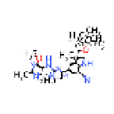 C=N/C(=N\C(=C/C)c1cc(C#N)c2c(c1)[C@@](C)(CO[Si](C)(C)C(C)(C)C)CN2)Nc1cnc(C)nc1OC